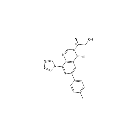 Cc1ccc(-c2cc3c(=O)n([C@@H](C)CO)cnc3c(-n3ccnc3)n2)cc1